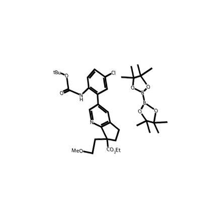 CC1(C)OB(B2OC(C)(C)C(C)(C)O2)OC1(C)C.CCOC(=O)C1(CCOC)CCc2cc(-c3cc(Cl)ccc3NC(=O)OC(C)(C)C)cnc21